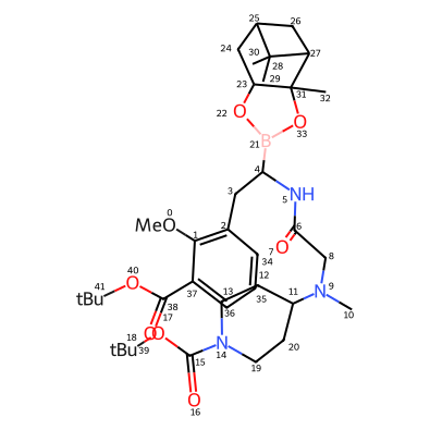 COc1c(CC(NC(=O)CN(C)C2CCN(C(=O)OC(C)(C)C)CC2)B2OC3CC4CC(C4(C)C)C3(C)O2)cccc1C(=O)OC(C)(C)C